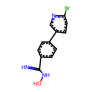 N=C(NO)c1ccc(-c2ccc(Br)nc2)cc1